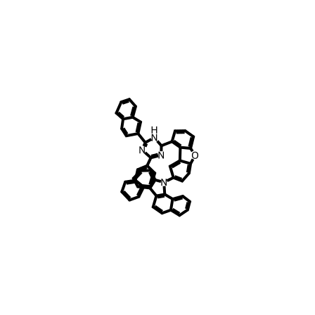 c1ccc2cc(C3=NC(c4cccc5oc6ccc(-n7c8ccccc8c8ccc9ccccc9c87)cc6c45)NC(c4ccc5ccccc5c4)=N3)ccc2c1